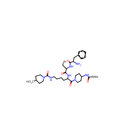 CNC(=O)NC1CCN(C(=O)C(CCCCNC(=O)N2CCC(C(=O)O)CC2)NC(=O)C(CC(C)C)NC(=O)C(N)Cc2ccccc2)CC1